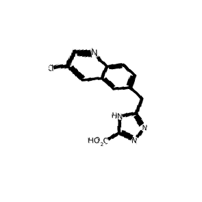 O=C(O)c1nnc(Cc2ccc3ncc(Cl)cc3c2)[nH]1